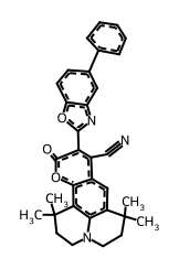 CC1(C)CCN2CCC(C)(C)c3c2c1cc1c(C#N)c(-c2nc4cc(-c5ccccc5)ccc4o2)c(=O)oc31